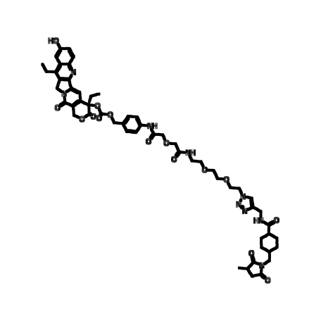 CCc1c2c(nc3ccc(O)cc13)-c1cc3c(c(=O)n1C2)COC(=O)[C@@]3(CC)OC(=O)OCc1ccc(NC(=O)COCC(=O)NCCOCCOCCn2cc(CNC(=O)C3CCC(CN4C(=O)CC(C)C4=O)CC3)nn2)cc1